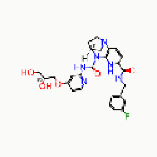 O=C(NCc1cccc(F)c1)C1C=CC2=C(N1)N(C(=O)Nc1cc(OC[C@H](O)CO)ccn1)[C@H]1CCN2C1